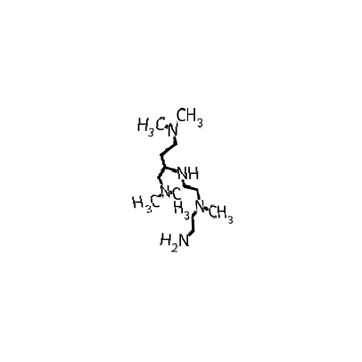 CN(C)CCC(CN(C)C)NCCN(C)CCN